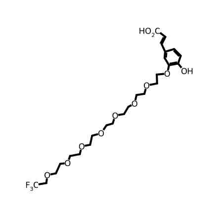 O=C(O)/C=C/c1ccc(O)c(OCCOCCOCCOCCOCCOCCOCCOCC(F)(F)F)c1